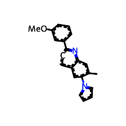 COc1cccc(-c2ccc3cc(-n4cccc4)c(C)cc3n2)c1